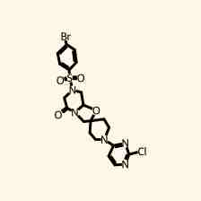 O=C1CN(S(=O)(=O)c2ccc(Br)cc2)CC2OC3(CCN(c4ccnc(Cl)n4)CC3)CN12